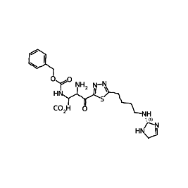 NC(C(=O)c1nnc(CCCCN[C@@H]2N=CCN2)s1)C(NC(=O)OCc1ccccc1)C(=O)O